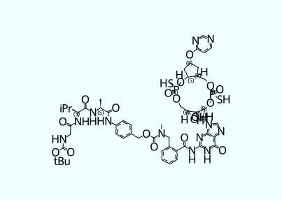 CC(C)[C@H](NC(=O)CNC(=O)OC(C)(C)C)C(=O)N[C@@H](C)C(=O)Nc1ccc(COC(=O)N(C)Cc2ccccc2C(=O)Nc2nc3c(ncn3[C@@H]3O[C@@H]4CO[P@@](=O)(S)O[C@H]5C[C@H](Oc6ccncn6)C[C@@H]5CO[P@@](=O)(S)O[C@@H]3[C@@H]4O)c(=O)[nH]2)cc1